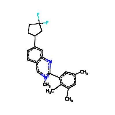 Cc1cc(C)c(C)c(-c2nc3cc(C4CCC(F)(F)C4)ccc3c[n+]2C)c1